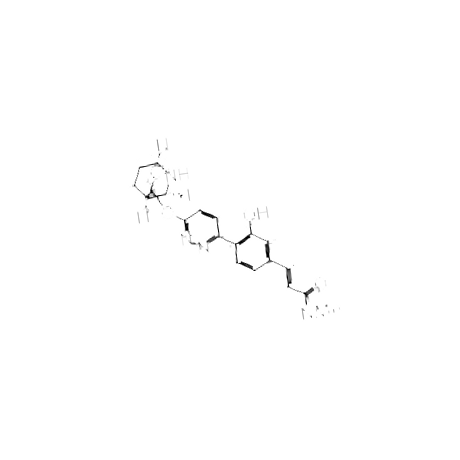 CNC(=O)/C=C/c1ccc(-c2ccc(O[C@@H]3C[C@@H]4CC[C@H]3CN4)nn2)c(O)c1